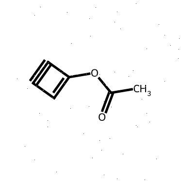 CC(=O)OC1=CC#C1